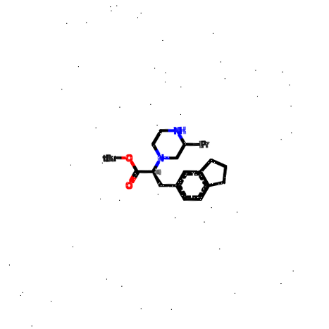 CC(C)C1CN([C@@H](Cc2ccc3c(c2)CCC3)C(=O)OC(C)(C)C)CCN1